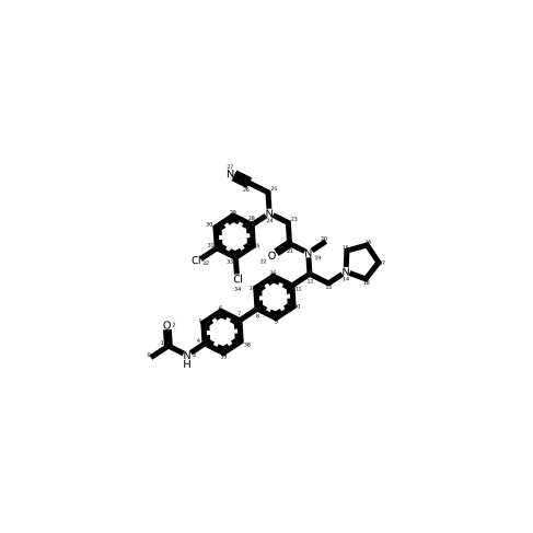 CC(=O)Nc1ccc(-c2ccc(C(CN3CCCC3)N(C)C(=O)CN(CC#N)c3ccc(Cl)c(Cl)c3)cc2)cc1